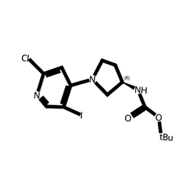 CC(C)(C)OC(=O)N[C@@H]1CCN(c2cc(Cl)ncc2I)C1